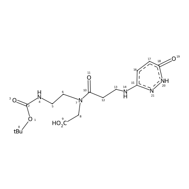 CC(C)(C)OC(=O)NCCN(CC(=O)O)C(=O)CCNc1ccc(=O)[nH]n1